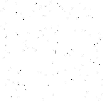 c1ccc(-c2ccc(N(c3ccc(-c4ccccc4)cc3)c3cc(-c4cccc5c4oc4ccccc45)c4sc5ccccc5c4c3)cc2)cc1